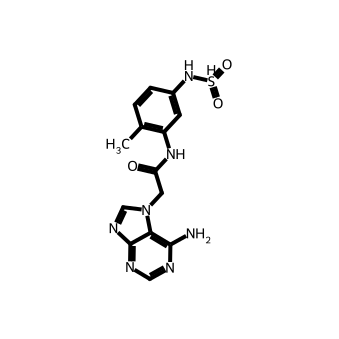 Cc1ccc(N[SH](=O)=O)cc1NC(=O)Cn1cnc2ncnc(N)c21